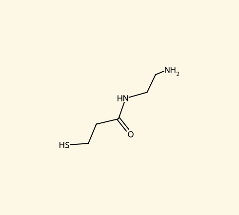 NCCNC(=O)CCS